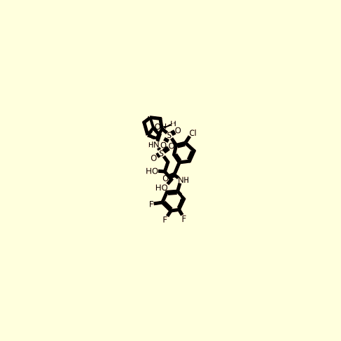 O=C(Nc1cc(F)c(F)c(F)c1)c1ccc(Cl)c(S(=O)(=O)[C@H]2CC3CC(C2)[C@]3(O)CNS(=O)(=O)CC(O)CO)c1